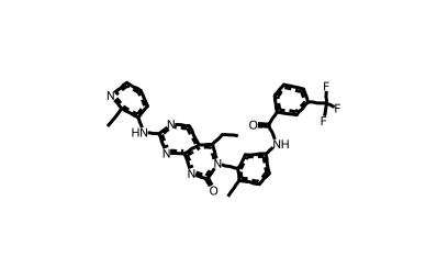 CCc1c2cnc(Nc3cccnc3C)nc2nc(=O)n1-c1cc(NC(=O)c2cccc(C(F)(F)F)c2)ccc1C